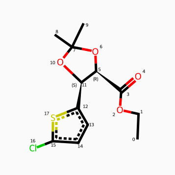 CCOC(=O)[C@@H]1OC(C)(C)O[C@@H]1c1ccc(Cl)s1